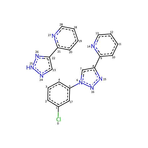 Clc1cccc(-n2cc(-c3ccccn3)nn2)c1.c1ccc(-c2cn[nH]n2)nc1